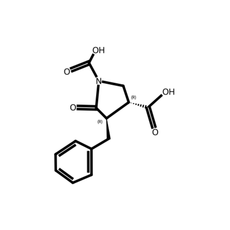 O=C(O)[C@H]1CN(C(=O)O)C(=O)[C@@H]1Cc1ccccc1